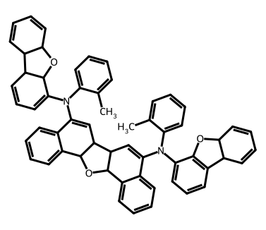 Cc1ccccc1N(C1=CC2C(OC3c4ccccc4C(N(c4ccccc4C)c4cccc5c4OC4C=CC=CC54)=CC32)c2ccccc21)C1=CC=CC2C1OC1C=CC=CC12